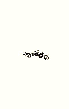 O=C(CC(O)CO)NC[C@H]1CN(c2ccc(N3CCOCC3)c(F)c2)C(=O)O1